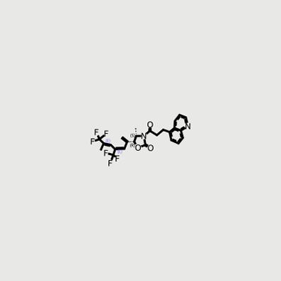 C=C(/C=C(\C=C(/C)C(F)(F)F)C(F)(F)F)[C@H]1OC(=O)N(C(=O)CCc2cccc3ncccc23)[C@H]1C